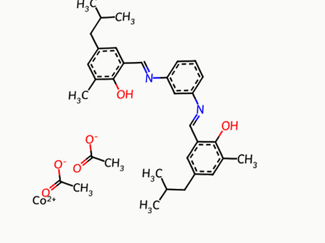 CC(=O)[O-].CC(=O)[O-].Cc1cc(CC(C)C)cc(C=Nc2cccc(N=Cc3cc(CC(C)C)cc(C)c3O)c2)c1O.[Co+2]